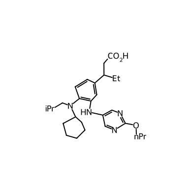 CCCOc1ncc(Nc2cc(C(CC)CC(=O)O)ccc2N(CC(C)C)C2CCCCC2)cn1